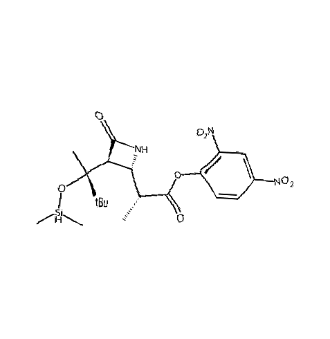 C[C@@H](C(=O)Oc1ccc([N+](=O)[O-])cc1[N+](=O)[O-])[C@H]1NC(=O)[C@@H]1[C@@](C)(O[SiH](C)C)C(C)(C)C